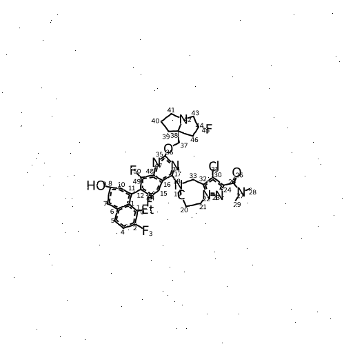 CCc1c(F)ccc2cc(O)cc(-c3c(F)cc4c(N5CCCn6nc(C(=O)N(C)C)c(Cl)c6C5)nc(OC[C@@]56CCCN5C[C@H](F)C6)nc4c3F)c12